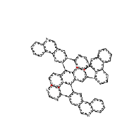 c1ccc2c(c1)cc1c3c(cccc32)-c2cc3c(-c4nc5c(cnc6ccccc65)cc4-c4ncncn4)c4ccccc4c(-c4nc5c(cnc6ccccc65)cc4-c4ncncn4)c3cc2-1